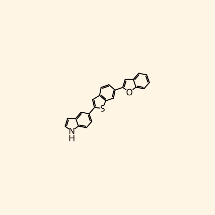 c1ccc2oc(-c3ccc4cc(-c5ccc6[nH]ccc6c5)sc4c3)cc2c1